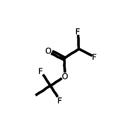 CC(F)(F)OC(=O)C(F)F